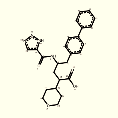 O=C(NC(Cc1ccc(-c2ccccc2)cc1)CC(C(=O)O)C1CCOCC1)c1cnn[nH]1